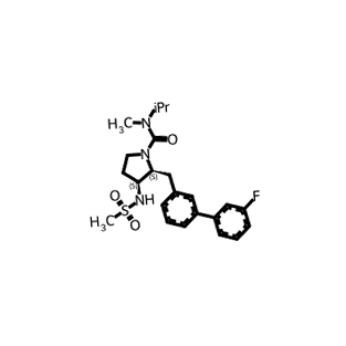 CC(C)N(C)C(=O)N1CC[C@H](NS(C)(=O)=O)[C@@H]1Cc1cccc(-c2cccc(F)c2)c1